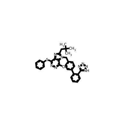 CC(C)(C)Cc1nc2c(Sc3ccccc3)nnc(O)c2n1Cc1ccc(-c2ccccc2-c2nnn[nH]2)cc1